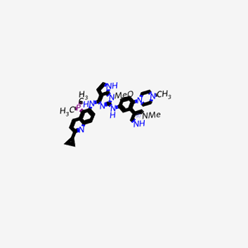 CN/C=C(\C=N)c1cc(Nc2nc(Nc3ccc4nc(C5CC5)ccc4c3P(C)C)c3cc[nH]c3n2)c(OC)cc1N1CCN(C)CC1